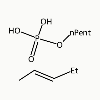 CC=CCC.CCCCCOP(=O)(O)O